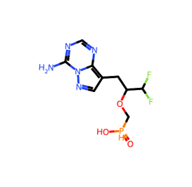 Nc1ncnc2c(CC(OC[PH](=O)O)C(F)F)cnn12